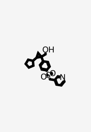 O=S(=O)(Cc1cccnc1)c1ccc(C2(CO)CC2C2CCCC2)cc1